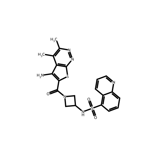 Cc1nnc2sc(C(=O)N3CC(NS(=O)(=O)c4cccc5ncccc45)C3)c(N)c2c1C